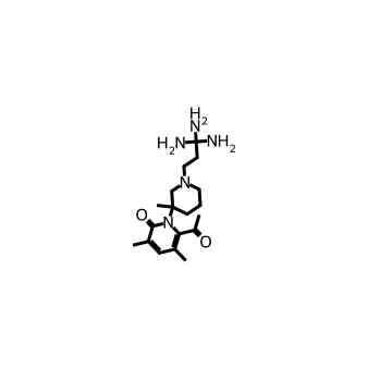 CC(=O)c1c(C)cc(C)c(=O)n1C1(C)CCCN(CCC(N)(N)N)C1